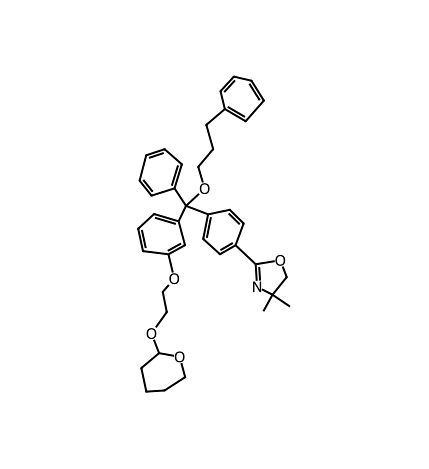 CC1(C)COC(c2ccc(C(OCCCc3ccccc3)(c3ccccc3)c3cccc(OCCOC4CCCCO4)c3)cc2)=N1